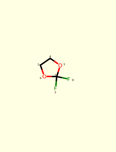 FC1(F)O[CH]CO1